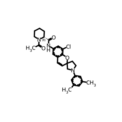 CC(=O)N1CCCC[C@@H]1C(=O)Nc1cc(Cl)c2c(c1)C=CC1(CCN(c3cc(C)cc(C)c3)C1)O2